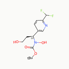 CC(C)(C)OC(=O)N(O)[C@@H](CCO)c1ccc(C(F)F)nc1